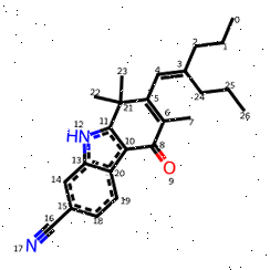 CCCC(=CC1=C(C)C(=O)c2c([nH]c3cc(C#N)ccc23)C1(C)C)CCC